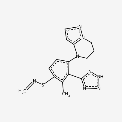 C=NSc1ccc(N2CCCn3nccc32)c(-c2nn[nH]n2)c1C